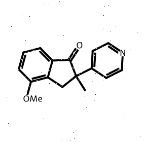 COc1cccc2c1CC(C)(c1ccncc1)C2=O